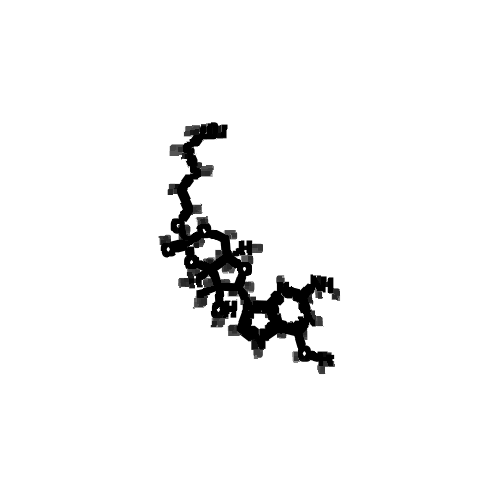 CCOc1nc(N)nc2c1ncn2[C@@H]1O[C@@H]2CO[P@](=O)(OCCSSC(C)(C)C)O[C@H]2[C@@]1(C)O